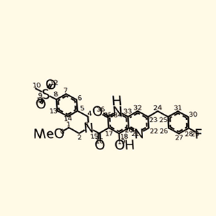 COCCN(Cc1ccc(S(C)(=O)=O)cc1)C(=O)c1c(O)c2ncc(Cc3ccc(F)cc3)cc2[nH]c1=O